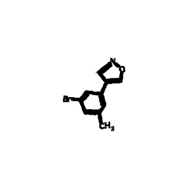 Cc1cc(Br)cc(-c2[c]noc2)c1